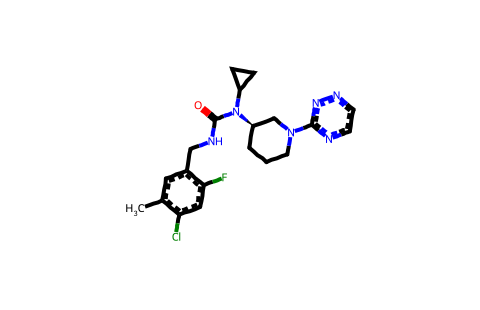 Cc1cc(CNC(=O)N(C2CC2)[C@@H]2CCCN(c3nccnn3)C2)c(F)cc1Cl